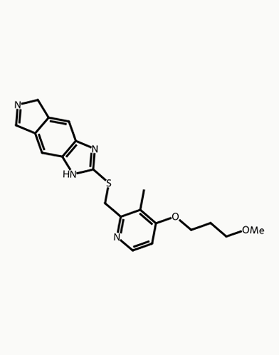 COCCCOc1ccnc(CSc2nc3cc4c(cc3[nH]2)C=NC4)c1C